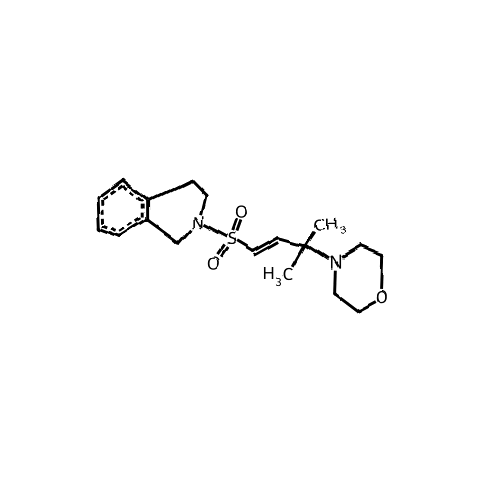 CC(C)(C=CS(=O)(=O)N1CCc2ccccc2C1)N1CCOCC1